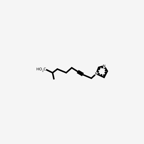 CC(CCCC#CCn1ccnc1)C(=O)O